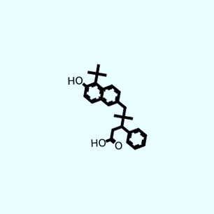 CC(C)(C)c1c(O)ccc2cc(CC(C)(C)C(CC(=O)O)c3ccccc3)ccc12